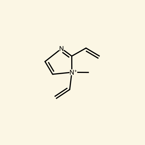 C=CC1=NC=C[N+]1(C)C=C